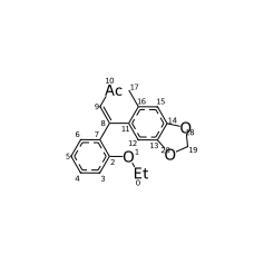 CCOc1ccccc1/C(=C/C(C)=O)c1cc2c(cc1C)OCO2